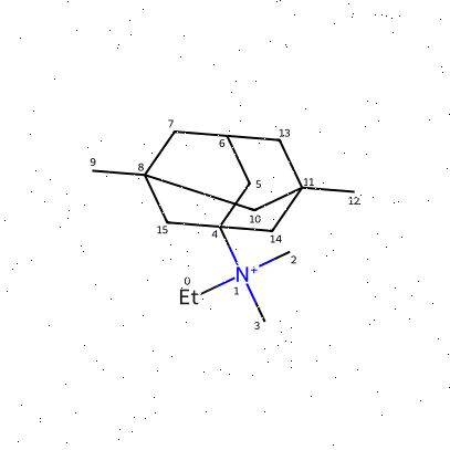 CC[N+](C)(C)C12CC3CC(C)(CC(C)(C3)C1)C2